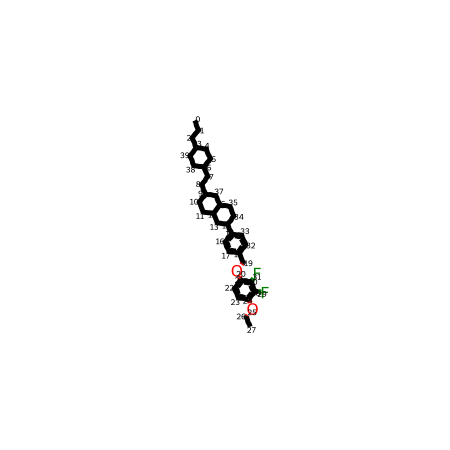 CCCC1CCC(CCC2CCC3CC(c4ccc(COc5ccc(OCC)c(F)c5F)cc4)CCC3C2)CC1